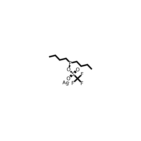 CCCCP(CCCC)OS(=O)(=O)C(F)(F)F.[Ag]